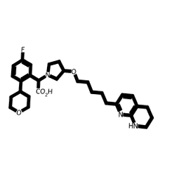 O=C(O)C(c1cc(F)ccc1C1CCOCC1)N1CCC(OCCCCCc2ccc3c(n2)NCCC3)C1